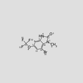 Cn1c(=O)[nH]c2cc(OC(F)(F)F)cc(Br)c21